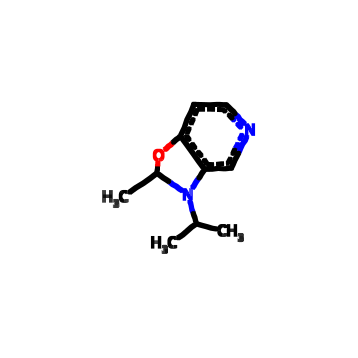 CC(C)N1c2cnccc2OC1C